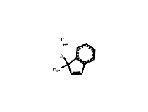 C[C]1([Zr])C=Cc2ccccc21.F.F